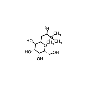 [2H]C(C[C]1O[C@H](CO)[C@H](O)[C@H](O)[C@H]1O)[Si](C)(C)C